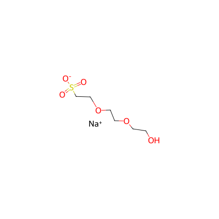 O=S(=O)([O-])CCOCCOCCO.[Na+]